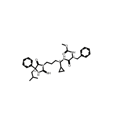 COC(=O)N[C@@H](Cc1ccccc1)C(=O)N[C@H](CCCN1C(=N)N[C@](CC(C)C)(c2ccccc2)C1=O)C1CC1